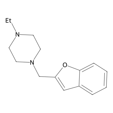 [CH2]CN1CCN(Cc2cc3ccccc3o2)CC1